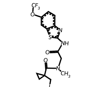 CN(CC(=O)Nc1nc2ccc(OC(F)(F)F)cc2s1)C(=O)C1(CI)CC1